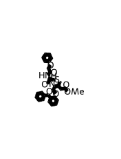 COC(=O)CC1=C(C(=O)OC(c2ccccc2)c2ccccc2)N2C(=O)[C@@H](NC(=O)COc3ccccc3)[C@@H]2SC1